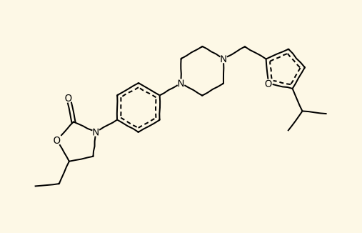 CCC1CN(c2ccc(N3CCN(Cc4ccc(C(C)C)o4)CC3)cc2)C(=O)O1